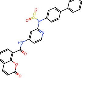 O=C(Nc1ccnc(N(c2ccc(-c3ccccc3)cc2)[SH](=O)=O)c1)c1cccc2ccc(=O)oc12